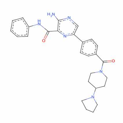 Nc1ncc(-c2ccc(C(=O)N3CCC(N4CCCC4)CC3)cc2)nc1C(=O)Nc1ccccc1